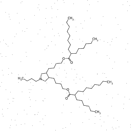 CCCCCCCCC(CCCCCC)C(=O)OCCCCC1CN(CCCC)CC1CCCCOC(=O)C(CCCCCC)CCCCCCCC